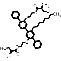 C=C(CO)C(=O)OCCOc1cc(-c2cc(OCCOC(=O)C(=C)CO)c(-c3ccccc3)cc2CCCCCCCC)ccc1-c1ccccc1